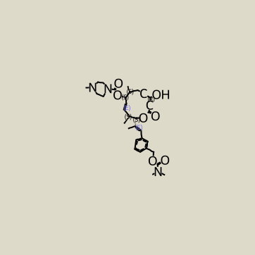 C/C(=C\c1cccc(COC(=O)N(C)C)c1)[C@H]1OC(=O)C[C@H](O)CC[C@H](C)[C@H](OC(=O)N2CCN(C)CC2)/C=C/[C@@H]1C